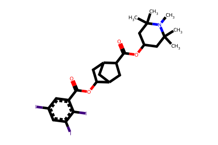 CN1C(C)(C)CC(OC(=O)C2CC3CC2CC3OC(=O)c2cc(I)cc(I)c2I)CC1(C)C